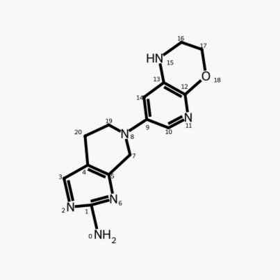 Nc1ncc2c(n1)CN(c1cnc3c(c1)NCCO3)CC2